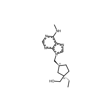 CC[C@@]1(CO)CC[C@H](Cn2cnc3c(NC)ncnc32)C1